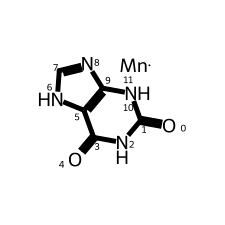 O=c1[nH]c(=O)c2[nH]cnc2[nH]1.[Mn]